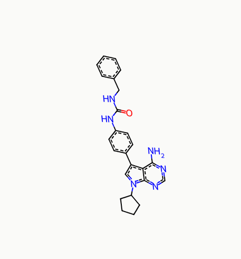 Nc1ncnc2c1c(-c1ccc(NC(=O)NCc3ccccc3)cc1)cn2C1CCCC1